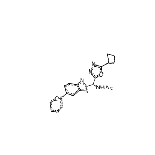 CC(=O)NC(c1nnc(C2CCC2)o1)c1nc2ccc(-c3ccccc3)cc2s1